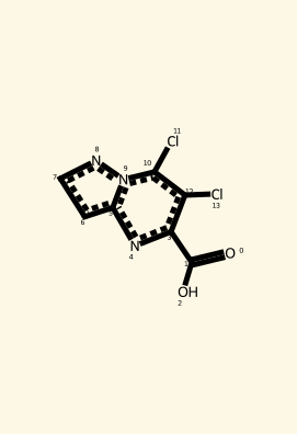 O=C(O)c1nc2ccnn2c(Cl)c1Cl